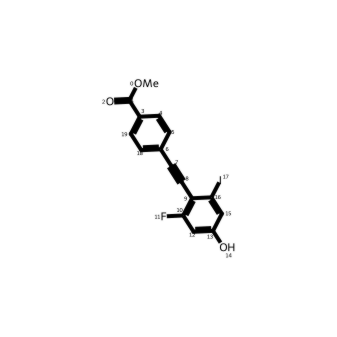 COC(=O)c1ccc(C#Cc2c(F)cc(O)cc2I)cc1